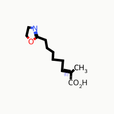 C/C(=C\CCCCCC1=NCCO1)C(=O)O